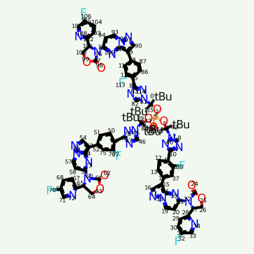 CC(C)(C)C(OP(=O)(OC(n1cnc(-c2ccc(-c3cnn4ccc(N5C(=O)OCC5c5ccc(F)cn5)nc34)cc2F)n1)(C(C)(C)C)C(C)(C)C)OC(n1cnc(-c2ccc(-c3cnn4ccc(N5C(=O)OCC5c5ccc(F)cn5)nc34)cc2F)n1)(C(C)(C)C)C(C)(C)C)(n1cnc(-c2ccc(-c3cnn4ccc(N5C(=O)OCC5c5ccc(F)cn5)nc34)cc2F)n1)C(C)(C)C